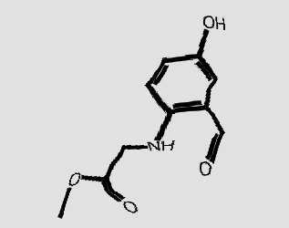 COC(=O)CNc1ccc(O)cc1C=O